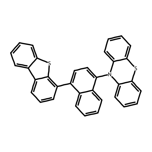 c1ccc2c(c1)Sc1ccccc1N2c1ccc(-c2cccc3c2sc2ccccc23)c2ccccc12